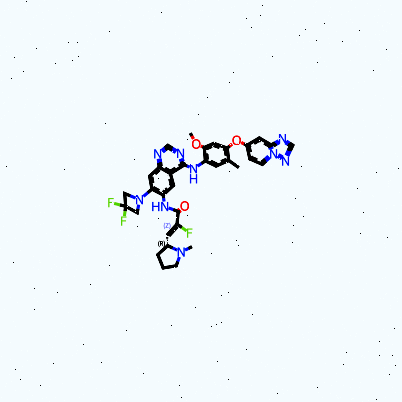 COc1cc(Oc2ccn3ncnc3c2)c(C)cc1Nc1ncnc2cc(N3CC(F)(F)C3)c(NC(=O)/C(F)=C/[C@H]3CCCN3C)cc12